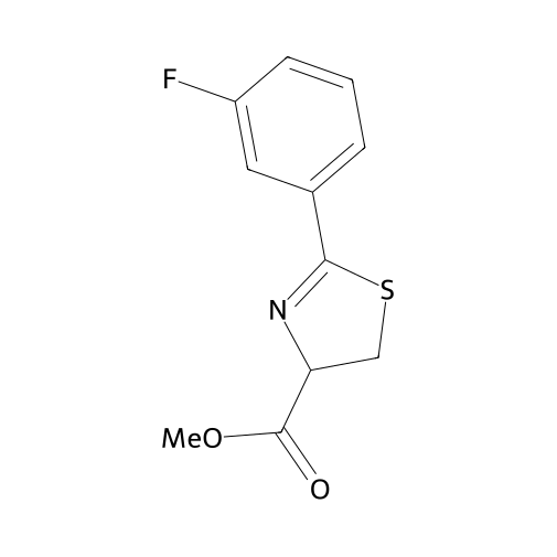 COC(=O)C1CSC(c2cccc(F)c2)=N1